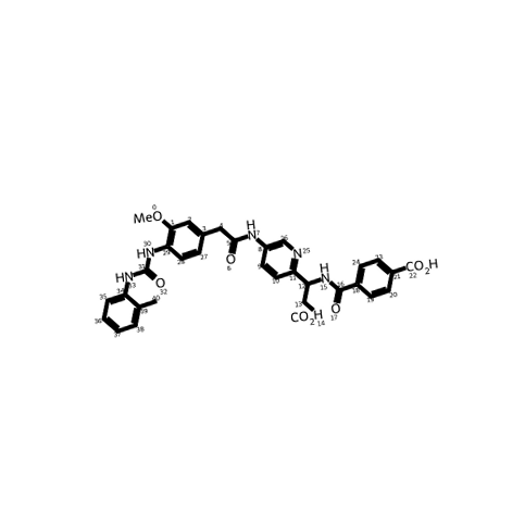 COc1cc(CC(=O)Nc2ccc(C(CC(=O)O)NC(=O)c3ccc(C(=O)O)cc3)nc2)ccc1NC(=O)Nc1ccccc1C